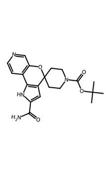 CC(C)(C)OC(=O)N1CCC2(CC1)Oc1cnccc1-c1[nH]c(C(N)=O)cc12